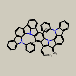 C=c1c2ccc3c4ccccc4n(-c4ccccc4)c3c2n2c1c(/C=C\C)c1c(C(C)C)c3c(c(C(C)C)c12)c1cccc2c4ccc5c6ccccc6n(-c6ccccc6)c5c4n3c21